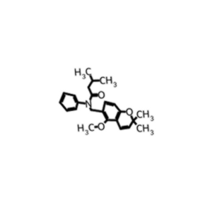 COc1c(CN(C(=O)CC(C)C)c2ccccc2)ccc2c1C=CC(C)(C)O2